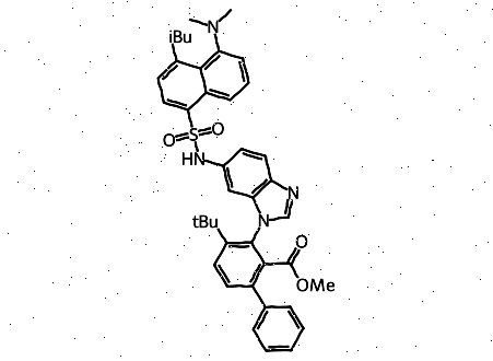 CCC(C)c1ccc(S(=O)(=O)Nc2ccc3ncn(-c4c(C(C)(C)C)ccc(-c5ccccc5)c4C(=O)OC)c3c2)c2cccc(N(C)C)c12